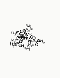 C[C@H](C(=O)NC(CC1CCC1)C(=O)C(N)=O)N(CC1CCCC1)C(=O)[C@@H](NC(=O)OC(C)(C)C)C(C)(C)C